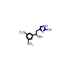 CCCCC(Cc1c[nH]c(C#N)n1)c1cc([N+](=O)[O-])cc([N+](=O)[O-])c1